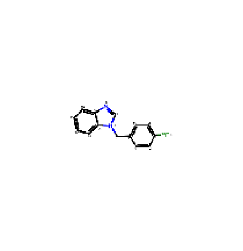 [18F]c1ccc(Cn2cnc3ccccc32)cc1